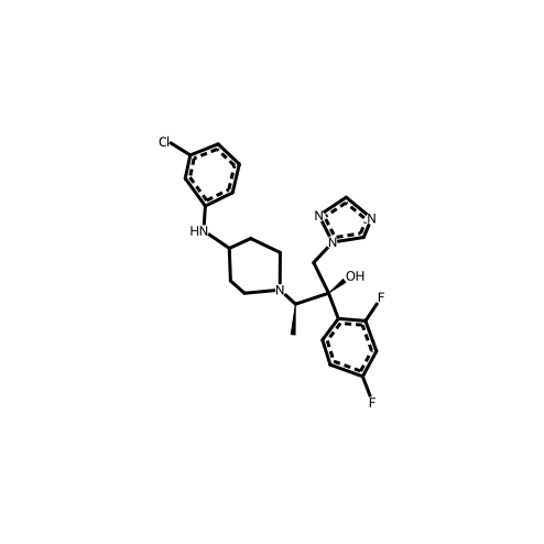 C[C@@H](N1CCC(Nc2cccc(Cl)c2)CC1)[C@](O)(Cn1cncn1)c1ccc(F)cc1F